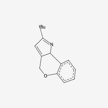 CC(C)(C)C1=NC2C(=C1)COc1ccccc12